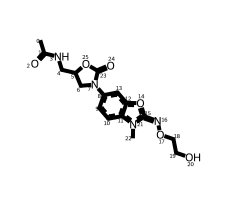 CC(=O)NCC1CN(c2ccc3c(c2)oc(=NOCCO)n3C)C(=O)O1